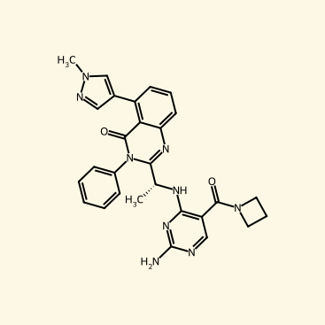 C[C@@H](Nc1nc(N)ncc1C(=O)N1CCC1)c1nc2cccc(-c3cnn(C)c3)c2c(=O)n1-c1ccccc1